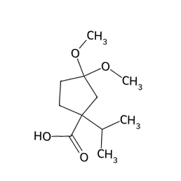 COC1(OC)CCC(C(=O)O)(C(C)C)C1